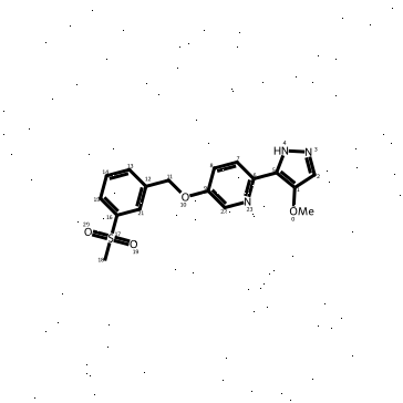 COc1cn[nH]c1-c1ccc(OCc2cccc(S(C)(=O)=O)c2)cn1